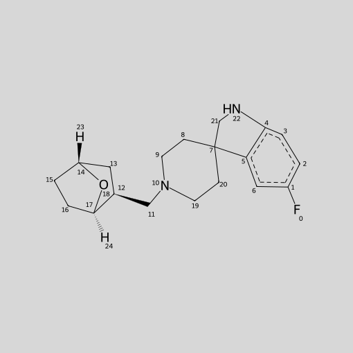 Fc1ccc2c(c1)C1(CCN(C[C@@H]3C[C@H]4CC[C@H]3O4)CC1)CN2